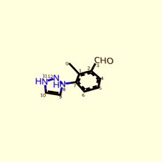 Cc1c(C=O)cccc1N1C=CNN1